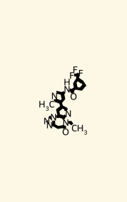 CCN1C(=O)Cc2nncn2-c2cc(-c3cc(NC(=O)c4cccc(C(F)(F)F)c4)cnc3C)cnc21